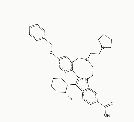 O=C(O)c1ccc2c([C@@H]3CCCC[C@H]3F)c3n(c2c1)CCN(CCN1CCCC1)Cc1cc(OCc2ccccc2)ccc1-3